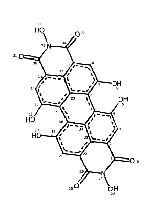 O=C1c2cc(O)c3c4c(O)cc5c6c(cc(O)c(c7c(O)cc(c2c37)C(=O)N1O)c64)C(=O)N(O)C5=O